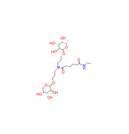 CCNC(=O)CCCCC(=O)N(CCCO[C@@H]1O[C@@H](C)[C@@H](O)[C@@H](O)[C@@H]1O)CCCO[C@@H]1O[C@@H](C)[C@@H](O)[C@@H](O)[C@@H]1O